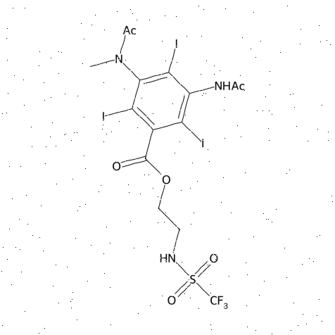 CC(=O)Nc1c(I)c(C(=O)OCCNS(=O)(=O)C(F)(F)F)c(I)c(N(C)C(C)=O)c1I